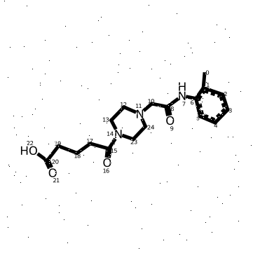 Cc1ccccc1NC(=O)CN1CCN(C(=O)CCCC(=O)O)CC1